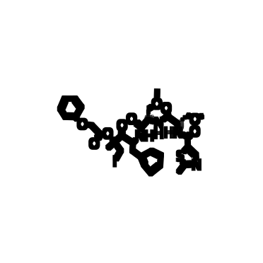 COC[C@H](NC(=O)c1cnc(C)s1)C(=O)N[C@@H](COC)C(=O)NC(Cc1ccccc1)C(=O)C(C)(CI)OC(=O)COc1ccccc1